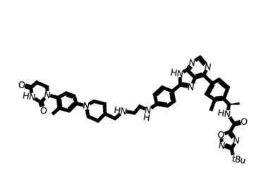 Cc1cc(-c2ncnc3[nH]c(-c4ccc(NCCNCC5CCN(c6ccc(N7CCC(=O)NC7=O)c(C)c6)CC5)cc4)nc23)ccc1[C@@H](C)NC(=O)c1nc(C(C)(C)C)no1